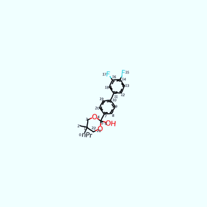 CCCC1(C)COC(O)(c2ccc(-c3ccc(F)c(F)c3)cc2)OC1